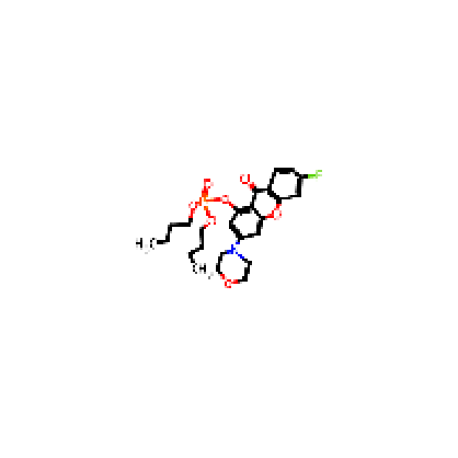 CCCCOP(=O)(OCCCC)Oc1cc(N2CCOCC2)cc2oc3cc(F)ccc3c(=O)c12